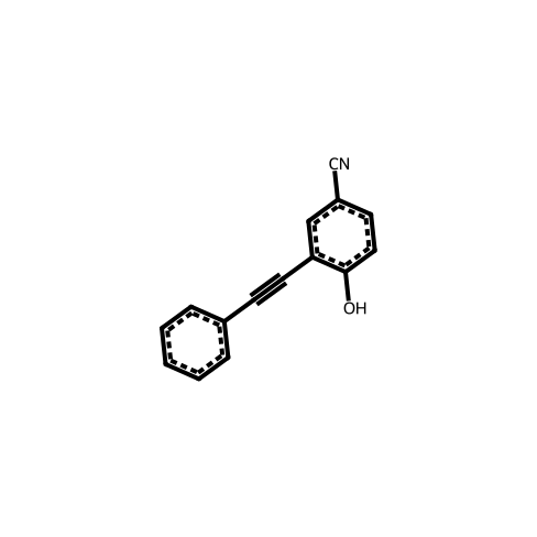 N#Cc1ccc(O)c(C#Cc2ccccc2)c1